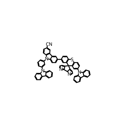 N#Cc1ccc2c(c1)c1cc(-c3ccc4c(c3)C3(c5cc(-n6c7ccccc7c7ccccc76)ccc5S4)c4cccnc4-c4ncccc43)ccc1n2-c1cccc(-n2c3ccccc3c3ccccc32)c1